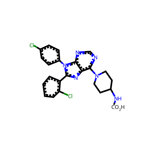 O=C(O)NC1CCN(c2ncnc3c2nc(-c2ccccc2Cl)n3-c2ccc(Cl)cc2)CC1